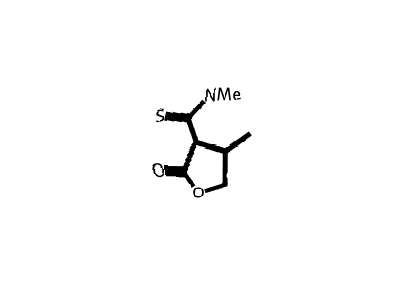 CNC(=S)C1C(=O)OCC1C